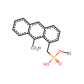 CCOP(=O)(O)Cc1cccc2cc3ccccc3c(C(=O)O)c12